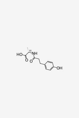 C[C@H](NC(=O)CCc1ccc(O)cc1)C(=O)O